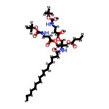 CCCCCCCCCCCCCCCC(=O)NC(COC(=O)CCC)(COC(=O)CCNC(=O)OC(C)(C)C)COC(=O)CCNC(=O)OC(C)(C)C